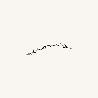 COC1CC(OCC23CC(COCCCCOC4CN(C(C)(C)C)C4)(C2)C3)C1